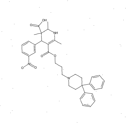 CC1=C(C(=O)OCCCN2CCC(c3ccccc3)(c3ccccc3)CC2)C(c2cccc([N+](=O)[O-])c2)C(C)(C(=O)O)C(C)N1